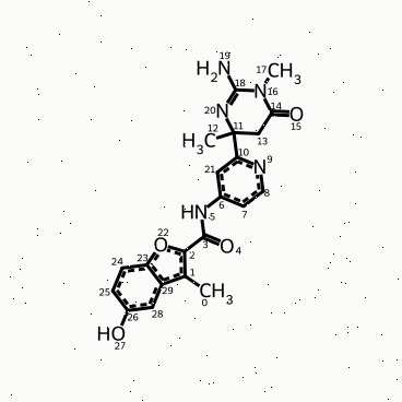 Cc1c(C(=O)Nc2ccnc(C3(C)CC(=O)N(C)C(N)=N3)c2)oc2ccc(O)cc12